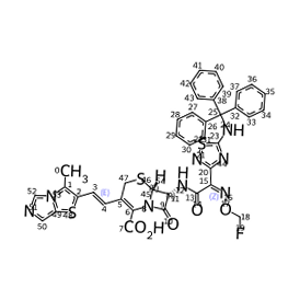 Cc1c(/C=C/C2=C(C(=O)O)N3C(=O)[C@@H](NC(=O)/C(=N\OCF)c4nsc(NC(c5ccccc5)(c5ccccc5)c5ccccc5)n4)[C@H]3SC2)sc2cncn12